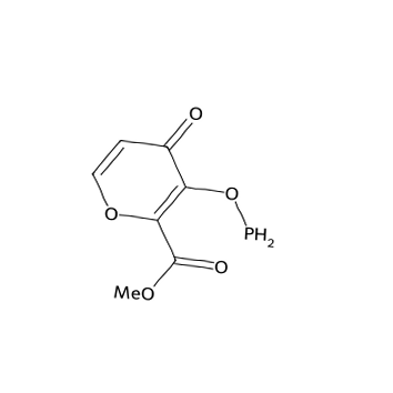 COC(=O)c1occc(=O)c1OP